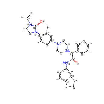 Cc1cc(N2CCN(C(C(=O)Nc3ccc4c(c3)CCC4)c3ccccc3)CC2)ccc1N1CCN(C(C)C)C1=O